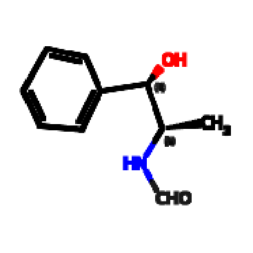 C[C@H](NC=O)[C@H](O)c1ccccc1